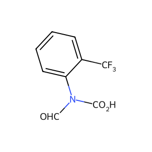 O=CN(C(=O)O)c1ccccc1C(F)(F)F